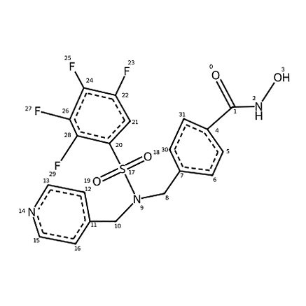 O=C(NO)c1ccc(CN(Cc2ccncc2)S(=O)(=O)c2cc(F)c(F)c(F)c2F)cc1